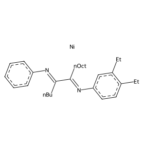 CCCCCCCCC(=N\c1ccc(CC)c(CC)c1)/C(CCCC)=N/c1ccccc1.[Ni]